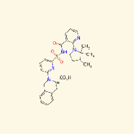 CC1CCN(c2ncccc2C(=O)NS(=O)(=O)c2cccc(N3Cc4ccccc4C[C@H]3C(=O)O)n2)C1(C)C